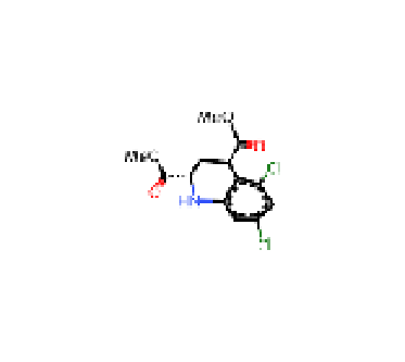 COC(=O)[C@@H]1C[C@@H](C(=O)OC)c2c(Cl)cc(Cl)cc2N1